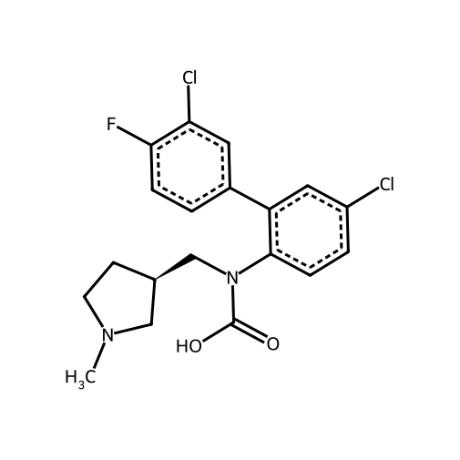 CN1CC[C@@H](CN(C(=O)O)c2ccc(Cl)cc2-c2ccc(F)c(Cl)c2)C1